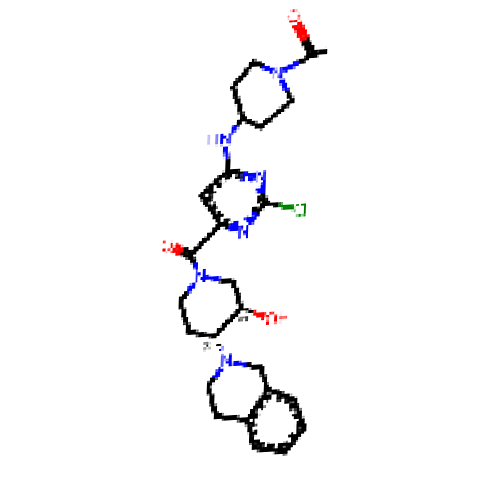 CC(=O)N1CCC(Nc2cc(C(=O)N3CC[C@@H](N4CCc5ccccc5C4)[C@H](O)C3)nc(Cl)n2)CC1